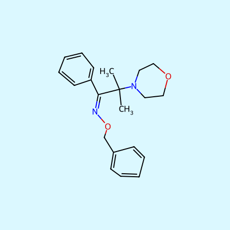 CC(C)(C(=NOCc1ccccc1)c1ccccc1)N1CCOCC1